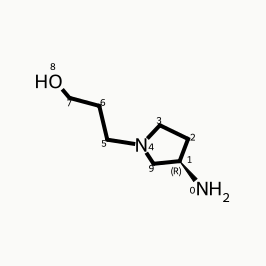 N[C@@H]1CCN(CCCO)C1